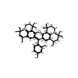 CC1=CC(C)(C)[N+]2=c3c1cc1c(c3C(C)(C)CC2)Oc2c(cc3c4c2C(C)(C)CCN4C(C)(C)CC3C)C=1c1ccc(C)cc1C